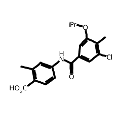 Cc1cc(NC(=O)c2cc(Cl)c(C)c(OC(C)C)c2)ccc1C(=O)O